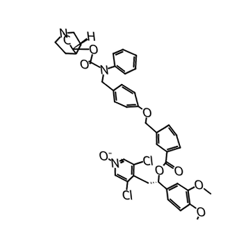 COc1ccc([C@H](Cc2c(Cl)c[n+]([O-])cc2Cl)OC(=O)c2cccc(COc3ccc(CN(C(=O)O[C@H]4CN5CCC4CC5)c4ccccc4)cc3)c2)cc1OC